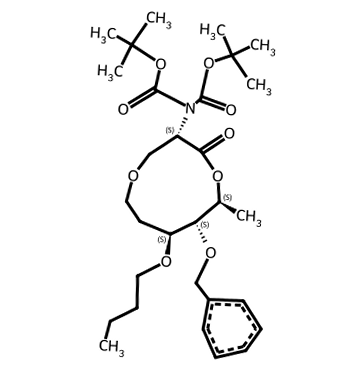 CCCCO[C@H]1CCOC[C@H](N(C(=O)OC(C)(C)C)C(=O)OC(C)(C)C)C(=O)O[C@@H](C)[C@@H]1OCc1ccccc1